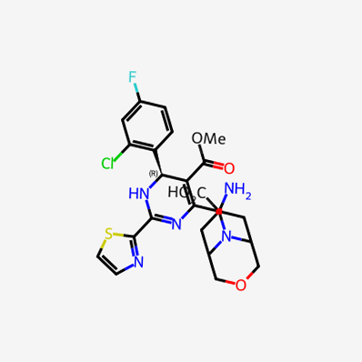 COC(=O)C1=C(CN2C3COCC2CC(N)(C(=O)O)C3)N=C(c2nccs2)N[C@H]1c1ccc(F)cc1Cl